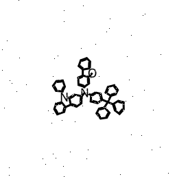 c1ccc(-n2c3ccccc3c3ccc(N(c4ccc(C(c5ccccc5)(c5ccccc5)c5ccccc5)cc4)c4ccc5c(c4)oc4ccccc45)cc32)cc1